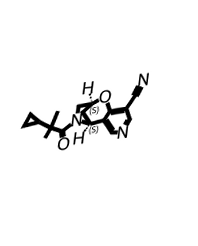 CC(C)(C(=O)N1C[C@@H]2C[C@H]1c1cncc(C#N)c1O2)C1CC1